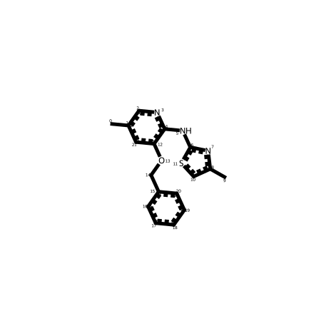 Cc1cnc(Nc2nc(C)cs2)c(OCc2ccccc2)c1